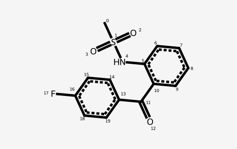 CS(=O)(=O)Nc1ccccc1C(=O)c1ccc(F)cc1